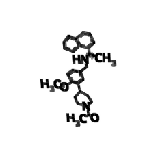 COc1ccc(CN[C@H](C)c2cccc3ccccc23)cc1C1CCN(C(C)=O)CC1